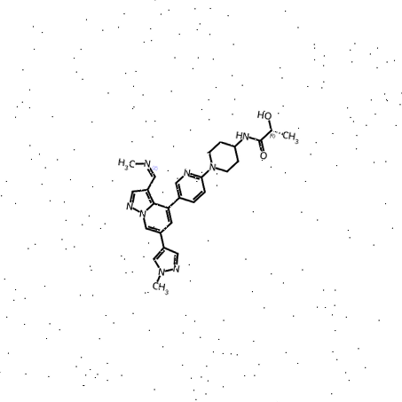 C/N=C\c1cnn2cc(-c3cnn(C)c3)cc(-c3ccc(N4CCC(NC(=O)[C@@H](C)O)CC4)nc3)c12